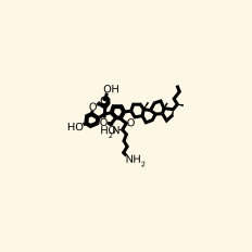 CCC[C@@H](C)[C@H]1CCC2C3CCC4CC(c5ccc6c(c5C(=O)[C@@H](N)CCCCN)C(=O)OC65c6ccc(O)cc6Oc6cc(O)ccc65)CC[C@]4(C)C3CC[C@@]21C